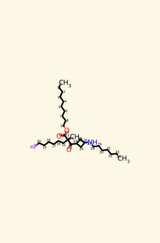 CCCCCCCCCCOC(=O)C(C)(CCCCCCI)C(=O)C1CC(NCCCCCCC)C1